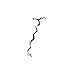 [CH2]CCOCCCOCC(C)O